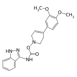 COc1ccc(C2=CCN(OC(=O)Nc3n[nH]c4ccccc34)CC2)cc1OC